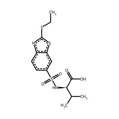 CCSc1nc2ccc(S(=O)(=O)N[C@@H](C(=O)O)C(C)C)cc2s1